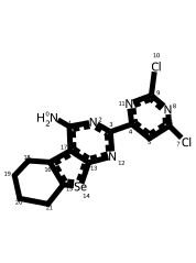 Nc1nc(-c2cc(Cl)nc(Cl)n2)nc2[se]c3c(c12)CCCC3